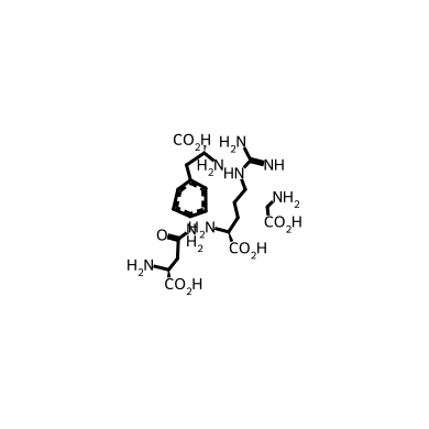 N=C(N)NCCC[C@H](N)C(=O)O.NC(=O)C[C@H](N)C(=O)O.NCC(=O)O.N[C@H](Cc1ccccc1)C(=O)O